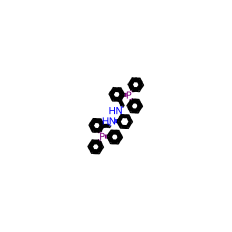 c1ccc(P(c2ccccc2)c2ccccc2CNC2CCCC[C@H]2NCc2ccccc2P(c2ccccc2)c2ccccc2)cc1